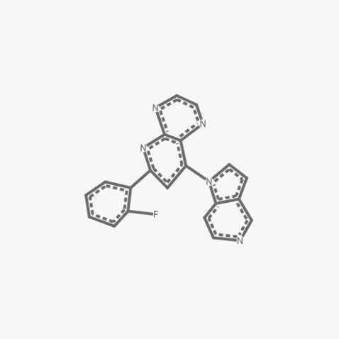 Fc1ccccc1-c1cc(-n2ccc3cnccc32)c2nccnc2n1